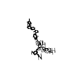 Cc1c(COc2cc(OCc3cncc(C#N)c3)c(CNC(CO)C(=O)O)cc2Cl)cccc1-c1cccc(-c2ccc3c(c2)CCC3N2CC(C)C2)c1C